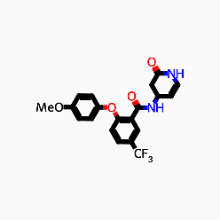 COc1ccc(Oc2ccc(C(F)(F)F)cc2C(=O)NC2C=CNC(=O)C2)cc1